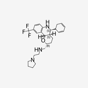 FC(F)(F)c1ccc2c(c1)[C@H]1O[C@@H](CNCCN3CCCC3)CC[C@H]1[C@H](C1C=CC=CC1)N2